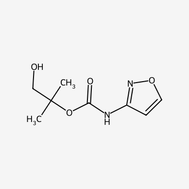 CC(C)(CO)OC(=O)Nc1ccon1